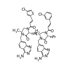 CCCC1C(=O)N(Cc2ccc3c(N)ncnc3c2)C(C)CN1C(=O)C=Cc1cc(Cl)cs1.CCCC1C(=O)N(Cc2ccc3c(N)ncnc3c2)C(C)CN1C(=O)C=Cc1cccc(Cl)c1